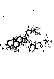 CC(C)[C@H](NC(=O)OC(C)(C)C)C(=O)O[C@H]1C[C@@]2(C)C3C[C@H](O)[C@H]4C(C)(C)[C@@H](O)CC[C@@]45CC35CC[C@]2(C)[C@H]1C1CC[C@@H](C(C)(C)O)O1